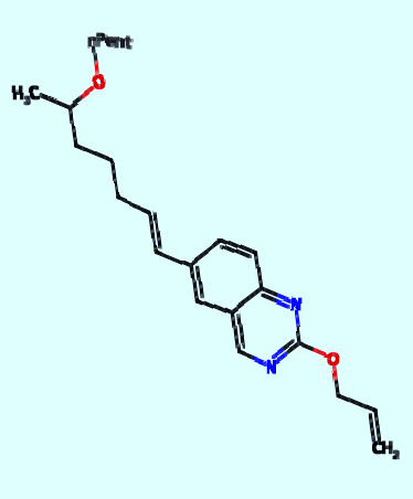 C=CCOc1ncc2cc(C=CCCCC(C)OCCCCC)ccc2n1